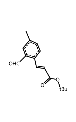 Cc1ccc(/C=C/C(=O)OC(C)(C)C)c(C=O)c1